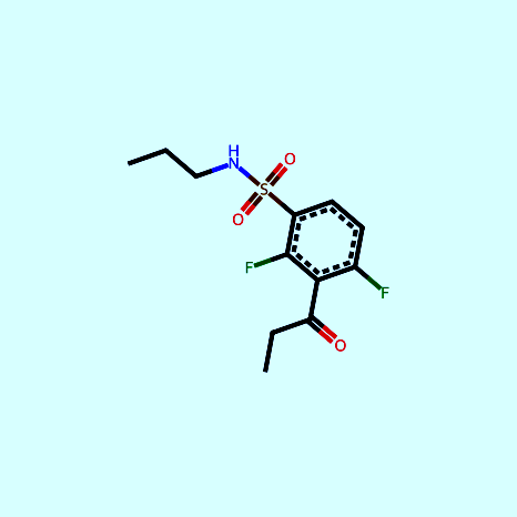 CCCNS(=O)(=O)c1ccc(F)c(C(=O)CC)c1F